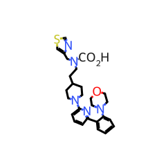 O=C(O)N(CCC1CCN(c2cccc(-c3ccccc3N3CCOCC3)n2)CC1)Cc1cscn1